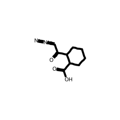 [N-]=[N+]=CC(=O)C1CCCCC1C(=O)O